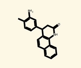 Bc1cc(C2CC(=O)Nc3c2ccc2ccccc32)ccc1C